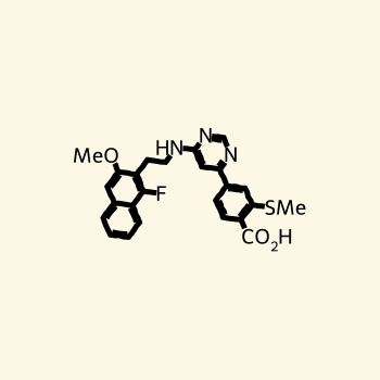 COc1cc2ccccc2c(F)c1CCNc1cc(-c2ccc(C(=O)O)c(SC)c2)ncn1